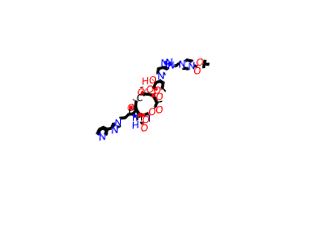 CO[C@]1(C)C[C@@H](C)C(=O)[C@@H]2C(CCCn3cnc(-c4cccnc4)c3)N[C@H]2[C@](C)(OC=O)[C@@H](I)OC(=O)[C@H](C)C(=O)[C@H](C)[C@H]1O[C@@H]1O[C@H](C)C[C@H](N(C)CCc2cn(CCN3CCN(C(=O)OC(C)(C)C)CC3)nn2)[C@H]1O